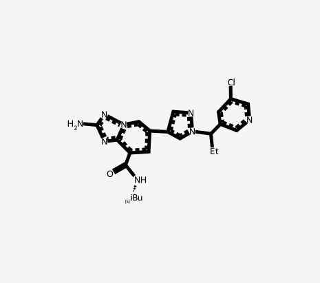 CCC(c1cncc(Cl)c1)n1cc(-c2cc(C(=O)N[C@@H](C)CC)c3nc(N)nn3c2)cn1